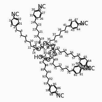 [C-]#[N+]c1ccc(CCCCCCC[Si](C)(C)O[Si](C)(CCCCCCCc2ccc([N+]#[C-])cc2)O[Si](C)(CCCCCCCc2ccc([N+]#[C-])cc2)O[Si](C)(CCCCCCCc2ccc([N+]#[C-])cc2)O[Si](C)(CCCCCCCc2ccc([N+]#[C-])cc2)O[Si](C)(O)CCCCCCCc2ccc([N+]#[C-])cc2)cc1